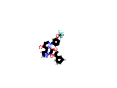 O=c1ccn(-c2cccc(OC(F)(F)F)c2)nc1-c1ccnn1C1=COC=C(C2=CC=CCC2)O1